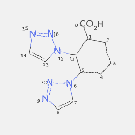 O=C(O)C1CCCC(n2ccnn2)C1n1ccnn1